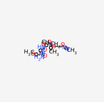 COc1ccc(Cn2c(C(N)=O)nc3c(C(=O)Nc4ccc(C(=O)N(C)c5ccc(C)cc5OCCCCCC(=O)N5CCN(C)CC5)cc4OC)cccc32)cc1